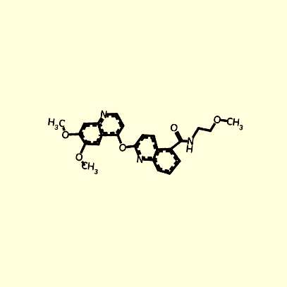 COCCNC(=O)c1cccc2nc(Oc3ccnc4cc(OC)c(OC)cc34)ccc12